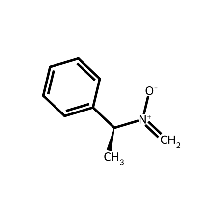 C=[N+]([O-])[C@@H](C)c1ccccc1